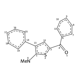 CNc1sc(C(=O)c2ccccc2)cc1-c1ccccc1